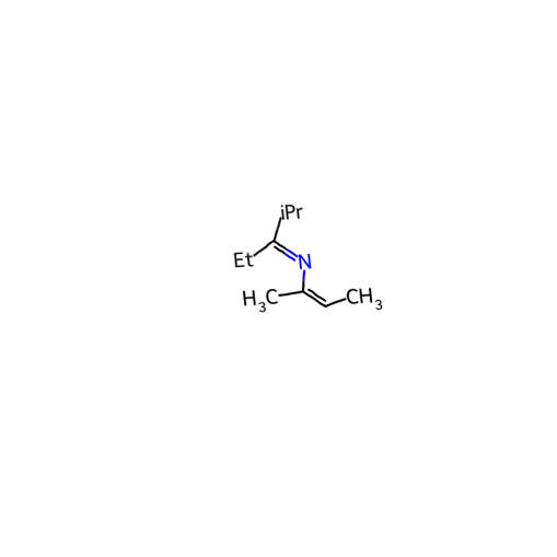 C/C=C(C)\N=C(/CC)C(C)C